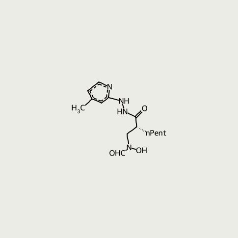 CCCCC[C@H](CN(O)C=O)C(=O)NNc1cc(C)ccn1